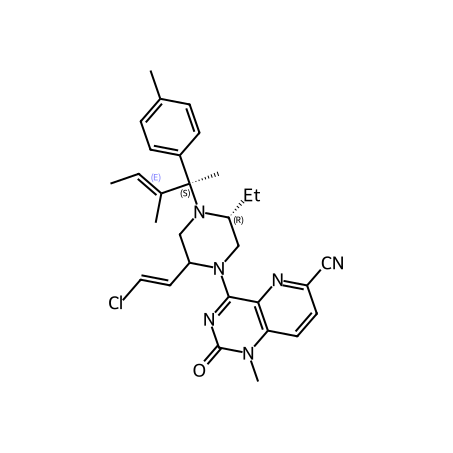 C/C=C(\C)[C@@](C)(c1ccc(C)cc1)N1CC(C=CCl)N(c2nc(=O)n(C)c3ccc(C#N)nc23)C[C@H]1CC